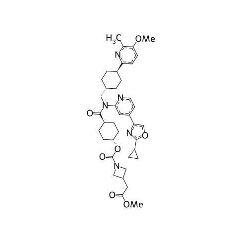 COC(=O)CC1CN(C(=O)O[C@H]2CC[C@H](C(=O)N(C[C@H]3CC[C@H](c4ccc(OC)c(C)n4)CC3)c3cc(-c4coc(C5CC5)n4)ccn3)CC2)C1